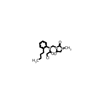 CCCCc1ccccc1N(CN1C(=O)CN(C)C1=O)C(=O)CCl